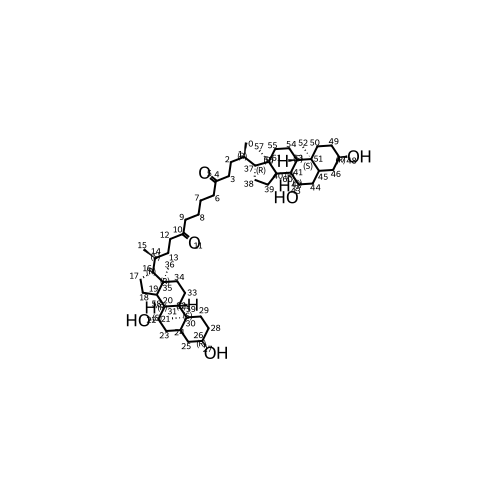 C[C@H](CCC(=O)CCCCC(=O)CC[C@H](C)[C@H]1CCC2[C@@H]3[C@@H](O)CC4C[C@H](O)CC[C@]4(C)[C@H]3CC[C@@]21C)[C@H]1CCC2[C@@H]3[C@@H](O)CC4C[C@H](O)CC[C@]4(C)[C@H]3CC[C@@]21C